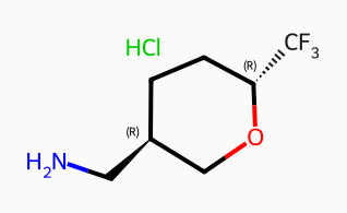 Cl.NC[C@H]1CC[C@H](C(F)(F)F)OC1